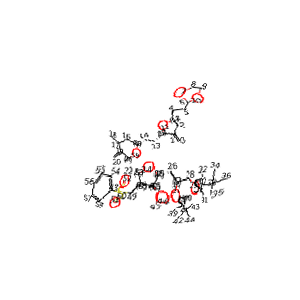 C=C1C[C@H](CCC2OCCO2)O[C@H]1CC[C@H]1CC(C)C(=C)[C@@H](C[C@@H]2O[C@H](C[C@@H](CO[Si](C)(C)C(C)(C)C)O[Si](C)(C)C(C)(C)C)[C@@H](OC)[C@H]2CS(=O)(=O)c2ccccc2)O1